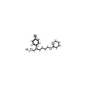 CCN(CCCCOC1CCCCO1)c1ccc(Br)cc1